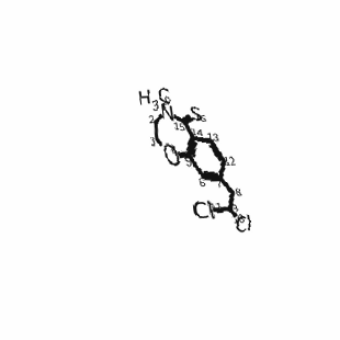 CN1CCOc2cc(CC(Cl)Cl)ccc2C1=S